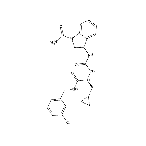 NC(=O)n1cc(NC(=O)N[C@@H](CC2CC2)C(=O)NCc2cccc(Cl)c2)c2ccccc21